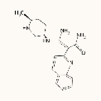 C[C@H]1CC[C@@H](N/C(N)=C(/C(N)=O)c2ccc3ccccc3n2)CN1